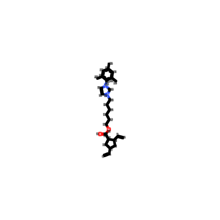 C=CC1CC(C=C)C(C(=O)OCCCCCCN2C=CN(c3c(C)cc(C)cc3C)C2)C1